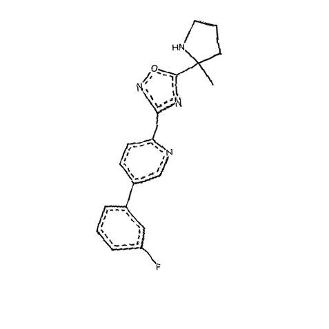 CC1(c2nc(-c3ccc(-c4cccc(F)c4)cn3)no2)CCCN1